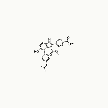 COC(=O)c1ccc(-c2[nH]c3ccc(O)c(-c4ccc(OC(C)C)cc4)c3c2C(=O)OC)cc1